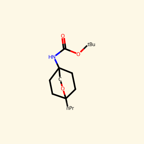 CCCC12CCC(NC(=O)OC(C)(C)C)(CC1)CO2